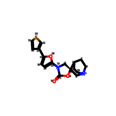 O=C1O[C@]2(CN3CCC2CC3)CN1c1ccc(-c2ccsc2)o1